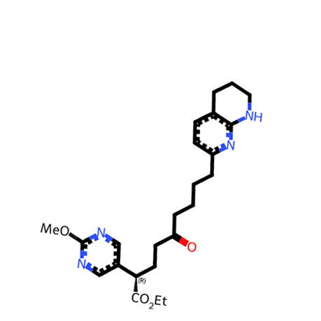 CCOC(=O)[C@H](CCC(=O)CCCCc1ccc2c(n1)NCCC2)c1cnc(OC)nc1